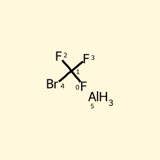 FC(F)(F)Br.[AlH3]